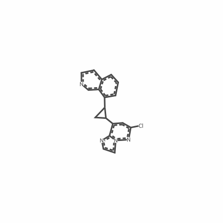 Clc1cc(C2CC2c2cccc3ccncc23)c2nccn2n1